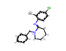 N#Cc1cc(Br)ccc1N=C1CCCCCN1Cc1ccccc1